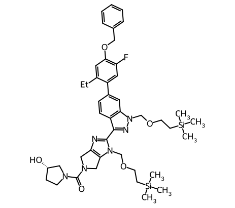 CCc1cc(OCc2ccccc2)c(F)cc1-c1ccc2c(-c3nc4c(n3COCC[Si](C)(C)C)CN(C(=O)N3CC[C@H](O)C3)C4)nn(COCC[Si](C)(C)C)c2c1